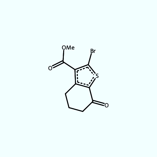 COC(=O)c1c(Br)sc2c1CCCC2=O